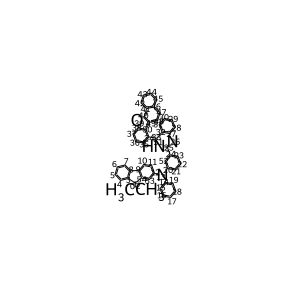 CC1(C)c2ccccc2-c2ccc(N(c3ccccc3)c3cccc(C4=Nc5ccccc5C(c5cccc6oc7c8ccccc8ccc7c56)N4)c3)cc21